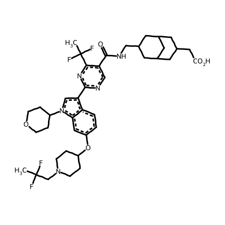 CC(F)(F)CN1CCC(Oc2ccc3c(-c4ncc(C(=O)NCC5CC6CC(CC(=O)O)CC(C5)C6)c(C(C)(F)F)n4)cn(C4CCOCC4)c3c2)CC1